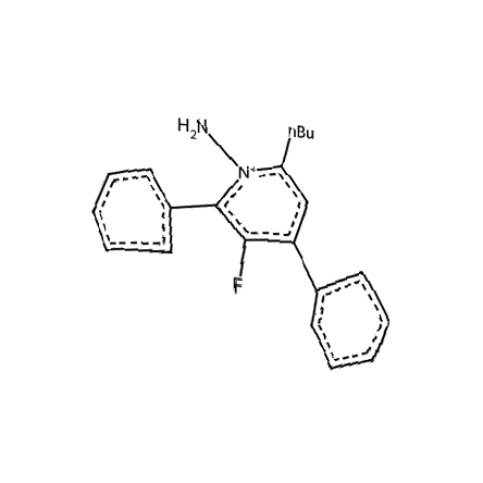 CCCCc1cc(-c2ccccc2)c(F)c(-c2ccccc2)[n+]1N